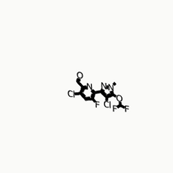 Cn1nc(-c2nc(C=O)c(Cl)cc2F)c(Cl)c1OC(F)F